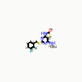 CC(C)(C)Nc1nc(SCc2cccc(F)c2F)nc2[nH]c(=O)sc12